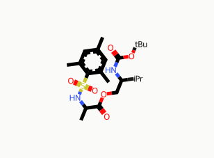 Cc1cc(C)c(S(=O)(=O)NC(C)C(=O)OCC(NC(=O)OC(C)(C)C)C(C)C)c(C)c1